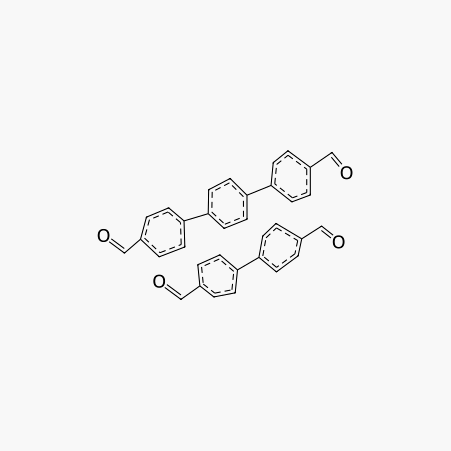 O=Cc1ccc(-c2ccc(-c3ccc(C=O)cc3)cc2)cc1.O=Cc1ccc(-c2ccc(C=O)cc2)cc1